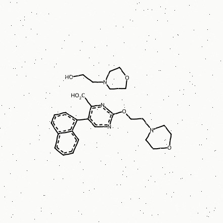 O=C(O)c1nc(OCCN2CCOCC2)ncc1-c1cccc2ccccc12.OCCN1CCOCC1